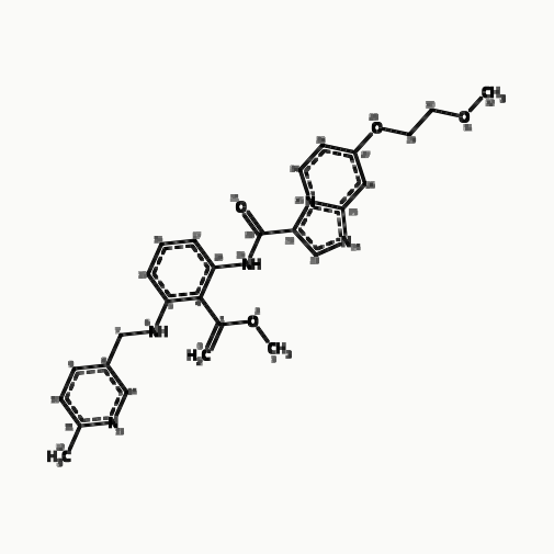 C=C(OC)c1c(NCc2ccc(C)nc2)cccc1NC(=O)c1cnc2cc(OCCOC)ccn12